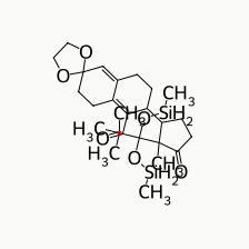 C[SiH2]OC(O[SiH2]C)(C(C)(C)C)C1(C)C(=O)CCC1C1CCC2=CC3(CCC2=C1C=O)OCCO3